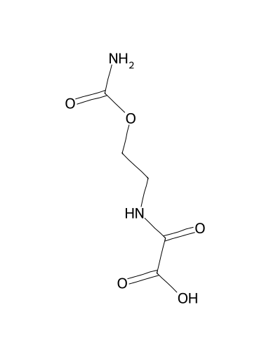 NC(=O)OCCNC(=O)C(=O)O